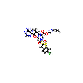 CNCCOC(=O)C1CN(S(=O)(=O)c2cc3ccc(Cl)cc3s2)CC(=O)N1Cc1ccc2c(N)ncnc2c1